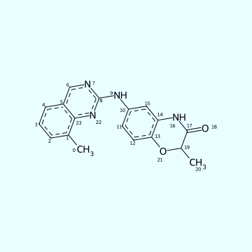 Cc1cccc2cnc(Nc3ccc4c(c3)NC(=O)C(C)O4)nc12